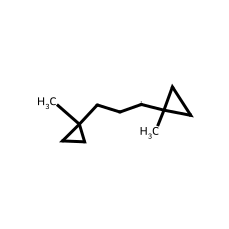 CC1([CH]CCC2(C)CC2)CC1